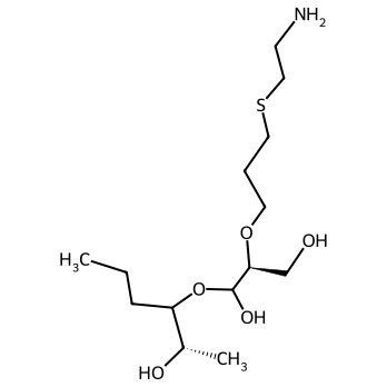 CCCC(OC(O)[C@H](CO)OCCCSCCN)[C@H](C)O